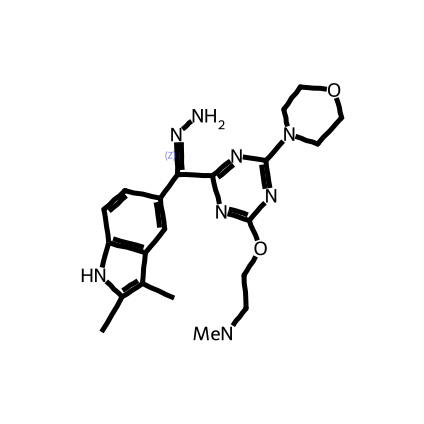 CNCCOc1nc(/C(=N\N)c2ccc3[nH]c(C)c(C)c3c2)nc(N2CCOCC2)n1